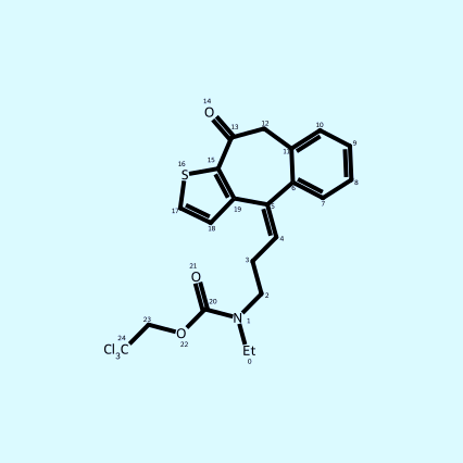 CCN(CC/C=C1/c2ccccc2CC(=O)c2sccc21)C(=O)OCC(Cl)(Cl)Cl